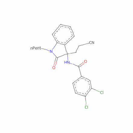 CCCCCN1C(=O)C(CCC#N)(NC(=O)c2ccc(Cl)c(Cl)c2)c2ccccc21